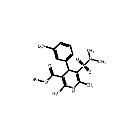 CC1=C(C(=O)OC(C)C)C(c2cccc([N+](=O)[O-])c2)C(S(=O)(=O)N(C)C)=C(C)N1